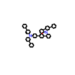 c1c(-c2ccccc2)ccc(N(c2ccc(-c3ccc(-c4ccccc4-n4c5ccccc5c5ccc(-c6ccccc6)cc54)cc3)cc2)c2cccc(-c3ccccc3)c2)c#1